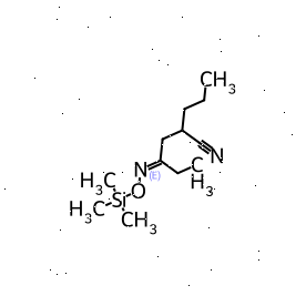 CCCC(C#N)C/C(CC)=N/O[Si](C)(C)C